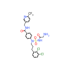 NCC(=O)NS(=O)(=O)N(CCCc1cccc(Cl)c1Cl)c1ccc(C(=O)NCc2ccc(C(F)(F)F)nc2)cc1